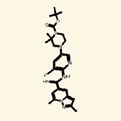 Cc1cc2cc(C(=N)Nc3ncc(N4CCN(C(=O)OC(C)(C)C)C(C)(C)C4)cc3F)cc(C)n2n1